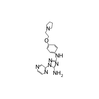 Nc1nc(Nc2ccc(OCCN3CCCC3)cc2)nn1-c1cnccn1